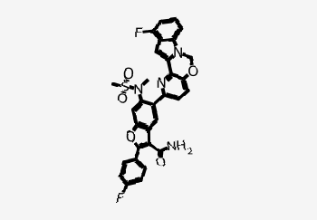 CN(c1cc2oc(-c3ccc(F)cc3)c(C(N)=O)c2cc1-c1ccc2c(n1)-c1cc3c(F)cccc3n1CO2)S(C)(=O)=O